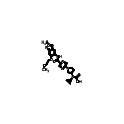 COCCOc1cc2nn(C)cc2cc1NC(=O)c1cnc(N2CC[C@@H](N(C(=O)O)C3CC3)C2)cn1